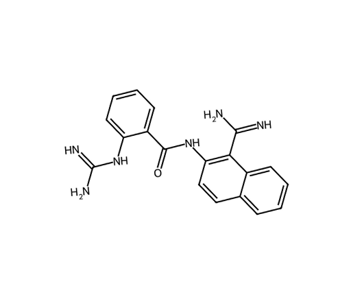 N=C(N)Nc1ccccc1C(=O)Nc1ccc2ccccc2c1C(=N)N